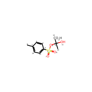 Cc1ccc(S(=O)(=O)OC(C)(O)C(=O)O)cc1